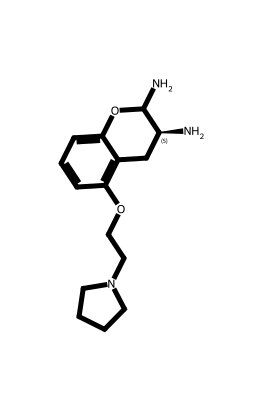 NC1Oc2cccc(OCCN3CCCC3)c2C[C@@H]1N